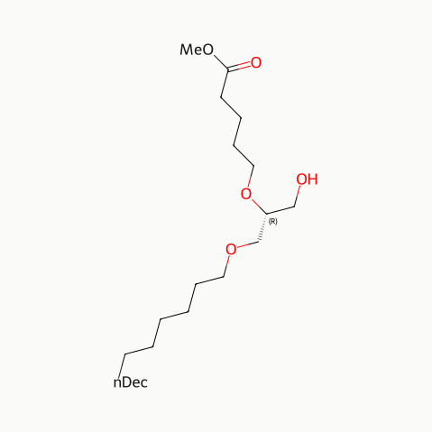 CCCCCCCCCCCCCCCCOC[C@@H](CO)OCCCCC(=O)OC